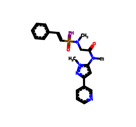 CCN(C(=O)CN(C)S(=O)(=P)/C=C/c1ccccc1)c1cc(-c2cccnc2)nn1C